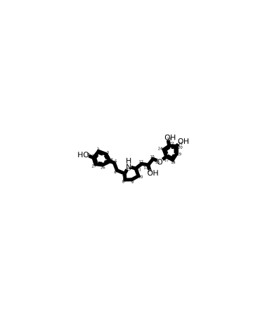 Oc1ccc(CCC2CCCC(CC(O)COc3ccc(O)c(O)c3)N2)cc1